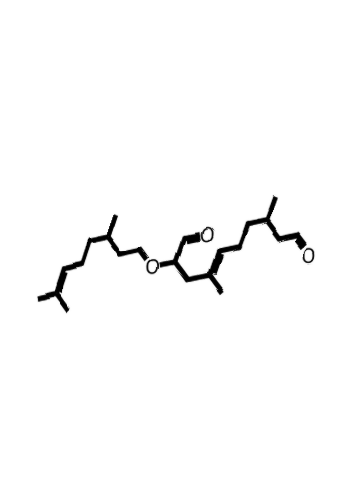 CC(C)=CCCC(C)CCOC(C=O)CC(C)=CCCC(C)CC=O